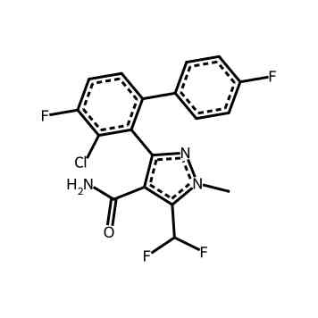 Cn1nc(-c2c(-c3ccc(F)cc3)ccc(F)c2Cl)c(C(N)=O)c1C(F)F